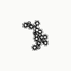 c1ccc(N(c2ccc3c4c(ccc3c2)-c2c(cc(N(c3ccccc3)c3ccc5c(c3)oc3ccccc35)c3ccccc23)C42c3ccccc3-c3ccccc32)c2ccc3c(c2)oc2ccccc23)cc1